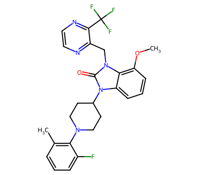 COc1cccc2c1n(Cc1nccnc1C(F)(F)F)c(=O)n2C1CCN(c2c(C)cccc2F)CC1